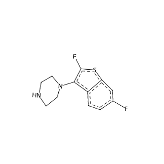 Fc1ccc2c(N3CCNCC3)c(F)sc2c1